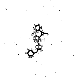 CC1C2c3nccnc3N(C)C(=O)[C@@H](NC(=O)c3ncc(Cc4ccccc4)o3)C12